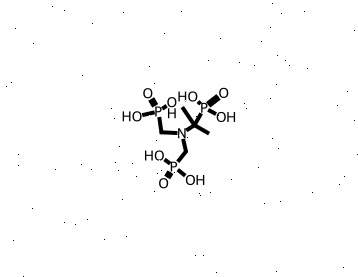 CC(C)(N(CP(=O)(O)O)CP(=O)(O)O)P(=O)(O)O